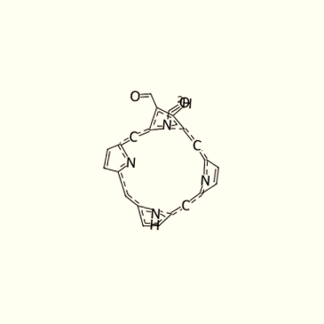 [2H]c1c(C=O)c2cc3nc(cc4ccc(cc5nc(cc1n2C=O)C=C5)[nH]4)C=C3